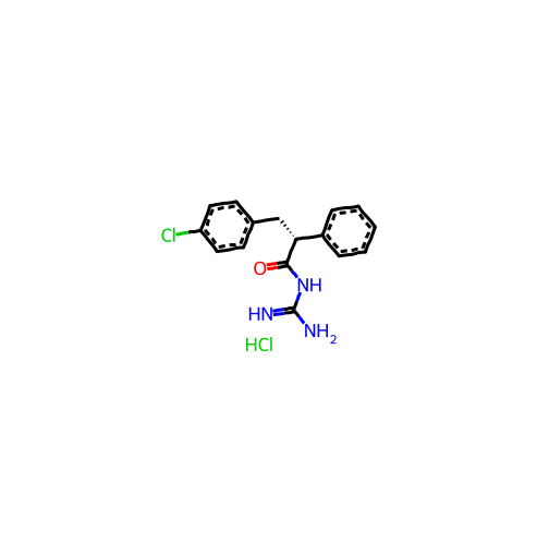 Cl.N=C(N)NC(=O)[C@H](Cc1ccc(Cl)cc1)c1ccccc1